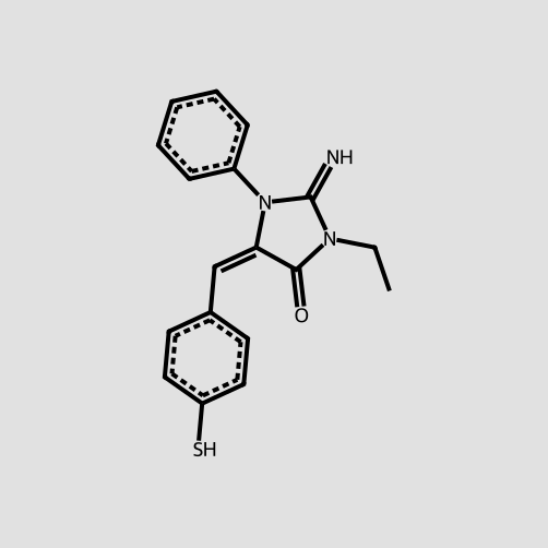 CCN1C(=N)N(c2ccccc2)/C(=C/c2ccc(S)cc2)C1=O